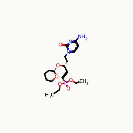 CCOP(=O)(C=C[C@@H](CCn1ccc(N)nc1=O)O[C@H]1CCCCO1)OCC